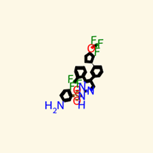 Nc1cccc(S(=O)(=O)Nc2ncc(-c3cccc([C@@H]4CC[C@@H](OC(F)(F)F)C4)c3)c(-c3ccccc3C(F)(F)F)n2)c1